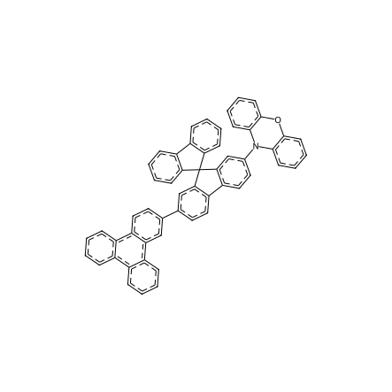 c1ccc2c(c1)Oc1ccccc1N2c1ccc2c(c1)C1(c3ccccc3-c3ccccc31)c1cc(-c3ccc4c5ccccc5c5ccccc5c4c3)ccc1-2